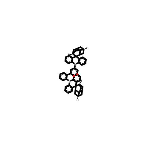 c1cc(-c2ccccc2N2c3ccccc3C3(c4ccccc42)C2CC4C[C@H](C2)C[C@H]3C4)cc(N2c3ccccc3C3(c4ccccc42)C2CC4C[C@H](C2)C[C@H]3C4)c1